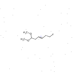 COC(C/C=C/CCI)OC